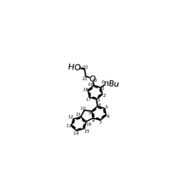 CCCCc1cc(-c2cccc3c2Cc2ccccc2-3)ccc1OCCO